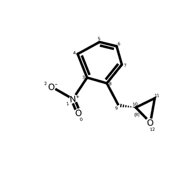 O=[N+]([O-])c1c[c]ccc1C[C@@H]1CO1